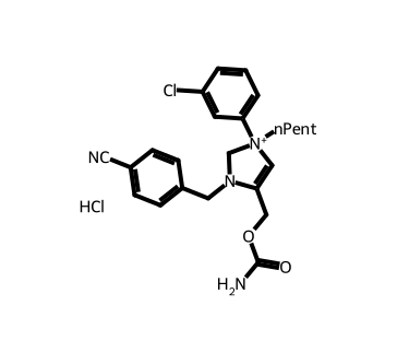 CCCCC[N+]1(c2cccc(Cl)c2)C=C(COC(N)=O)N(Cc2ccc(C#N)cc2)C1.Cl